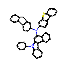 c1ccc(-n2c3ccccc3c3c4ccccc4c(N(c4ccc5c(c4)Cc4ccccc4-5)c4ccc5c(c4)sc4ccccc45)cc32)cc1